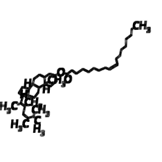 CCCCCCCC/C=C\CCCCCCCC(=O)OC1CC[C@@]2(C)C(CC[C@H]3[C@@H]4CC[C@H]([C@H](C)CC[C@H](C)C(C)C)[C@@]4(C)CC[C@@H]32)C1